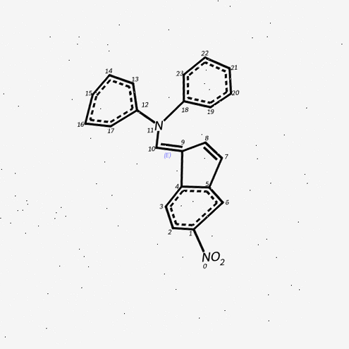 O=[N+]([O-])c1ccc2c(c1)C=C/C2=C\N(c1ccccc1)c1ccccc1